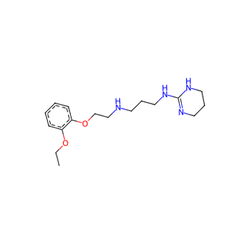 CCOc1ccccc1OCCNCCCNC1=NCCCN1